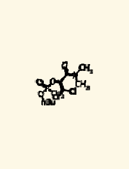 CCCCOP(C)(=O)OC(C(=O)N(C)C)=C(Cl)Cl